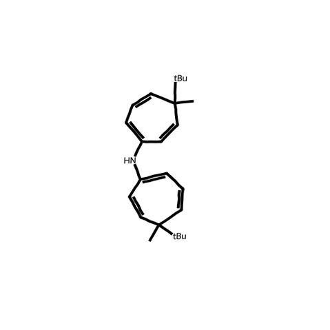 CC(C)(C)C1(C)C=CC=C(NC2=CC=CC(C)(C(C)(C)C)C=C2)C=C1